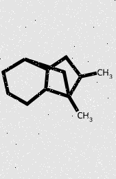 CC1CC2C3CCCC2C1(C)C3